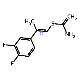 C=C(N)S/C=C(\C)c1ccc(F)c(F)c1